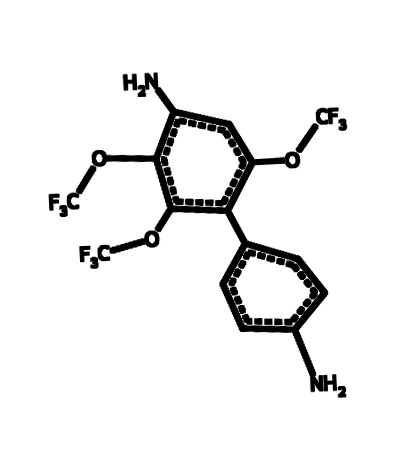 Nc1ccc(-c2c(OC(F)(F)F)cc(N)c(OC(F)(F)F)c2OC(F)(F)F)cc1